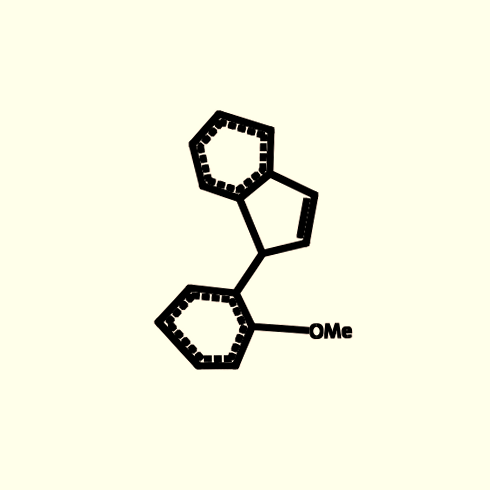 COc1ccccc1C1C=Cc2ccccc21